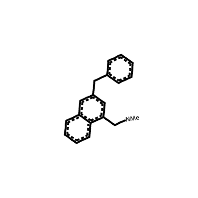 CNCc1cc(Cc2ccccc2)cc2ccccc12